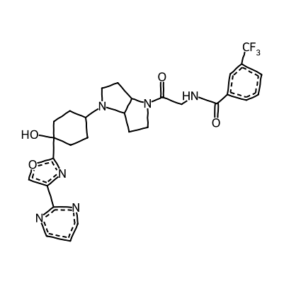 O=C(NCC(=O)N1CCC2C1CCN2C1CCC(O)(c2nc(-c3ncccn3)co2)CC1)c1cccc(C(F)(F)F)c1